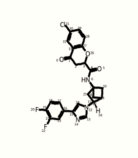 O=C1CC(C(=O)NC23CC(C2)[C@H](n2cnc(-c4ccc(F)c(F)c4)c2)C3)Oc2ccc(Cl)cc21